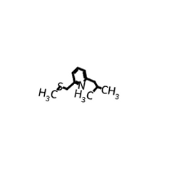 CSCc1cccc(CC(C)C)n1